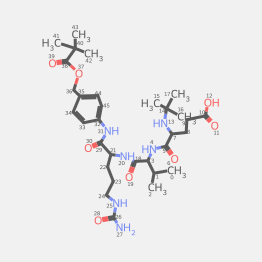 CC(C)C(NC(=O)C(CCC(=O)O)NC(C)(C)C)C(=O)NC(CCCNC(N)=O)C(=O)Nc1ccc(COC(=O)C(C)(C)C)cc1